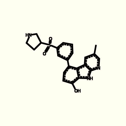 Cc1cnc2[nH]c3c(O)ccc(-c4cccc(S(=O)(=O)C5CCNC5)c4)c3c2c1